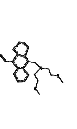 C=Cc1c2ccccc2c(CN(CCSC)CCSC)c2ccccc12